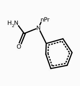 [CH2]CCN(C(N)=O)c1ccccc1